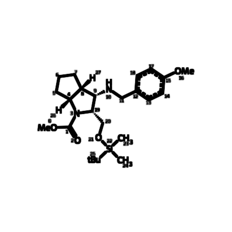 COC(=O)N1[C@@H]2CCC[C@@H]2[C@H](NCc2ccc(OC)cc2)[C@@H]1CO[Si](C)(C)C(C)(C)C